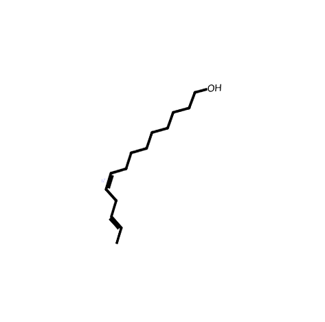 CC=CC/C=C\CCCCCCCCO